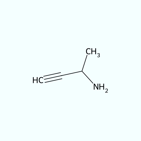 C#CC(C)N